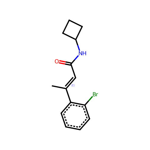 C/C(=C\C(=O)NC1CCC1)c1ccccc1Br